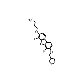 CCCCOc1ccc2c(oc3c(F)c(OCC4CCCC4)ccc32)c1F